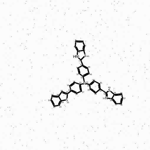 c1ccc2c(c1)NC(c1ccc(N(c3ccc(-c4cc5ccccc5s4)cc3)c3ccc(-c4nc5ccccc5s4)cc3)cc1)S2